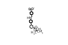 CC(C)(C)OC(=O)N1CCCC(c2ccc(NCc3ccc([N+](=O)[O-])cc3)cc2)C1